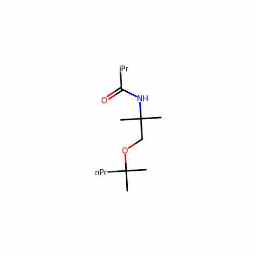 CCCC(C)(C)OCC(C)(C)NC(=O)C(C)C